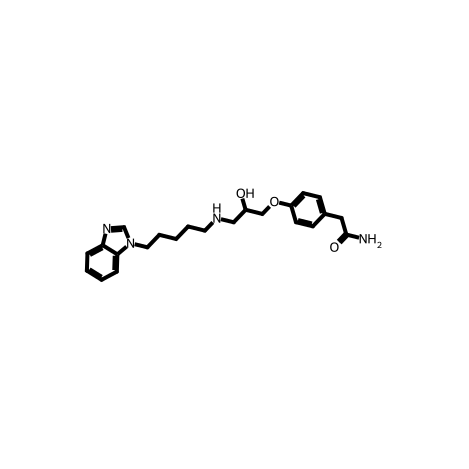 NC(=O)Cc1ccc(OCC(O)CNCCCCCn2cnc3ccccc32)cc1